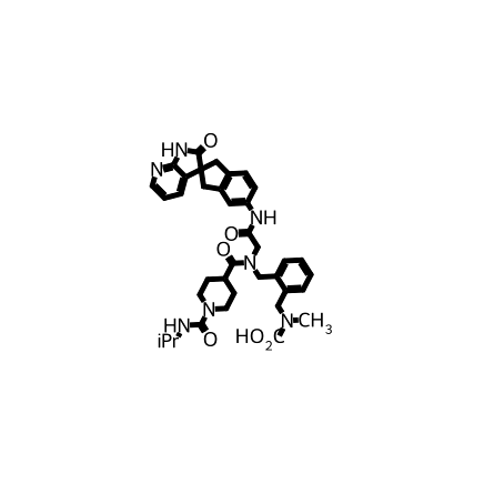 CC(C)NC(=O)N1CCC(C(=O)N(CC(=O)Nc2ccc3c(c2)CC2(C3)C(=O)Nc3ncccc32)Cc2ccccc2CN(C)C(=O)O)CC1